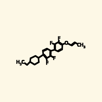 C/C=C/Oc1ccc(-c2ccc(C3CCC(CC)CC3)c(F)c2F)c(F)c1F